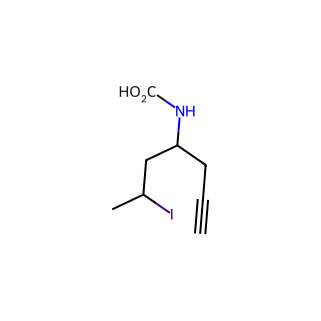 C#CCC(CC(C)I)NC(=O)O